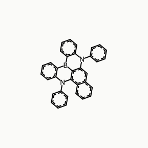 c1ccc(N2c3ccccc3B3c4ccccc4N(c4ccccc4)c4c3c2cc2ccccc42)cc1